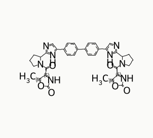 C[C@H]1OC(=O)N[C@@H]1C(=O)N1CCCC1c1ncc(-c2ccc(-c3ccc(-c4cnc(C5CCCN5C(=O)[C@H]5NC(=O)O[C@@H]5C)[nH]4)cc3)cc2)[nH]1